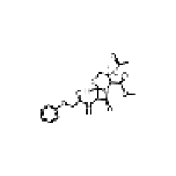 COC(=O)C1N2C(=O)C(NC(=O)COc3ccccc3)[C@@H]2SC[C@@]1(C)OC(C)=O